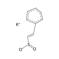 O=S([O-])C=Cc1ccccc1.[K+]